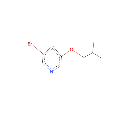 CC(C)COc1cncc(Br)c1